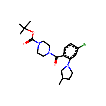 CC1CCN(c2cc(Br)ccc2C(=O)N2CCN(C(=O)OC(C)(C)C)CC2)C1